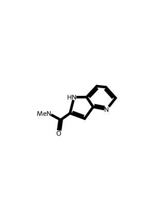 CNC(=O)c1cc2ncccc2[nH]1